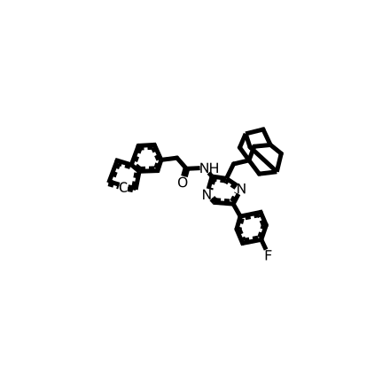 O=C(Cc1ccc2ccccc2c1)Nc1ncc(-c2ccc(F)cc2)nc1CC12CC3CC(CC(C3)C1)C2